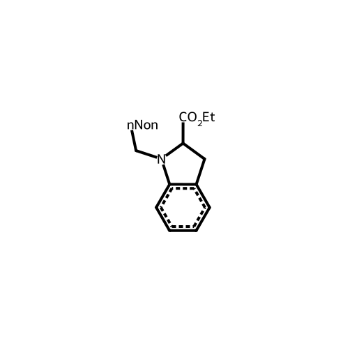 CCCCCCCCCCN1c2ccccc2CC1C(=O)OCC